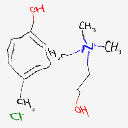 C[N+](C)(C)CCO.Cc1ccc(O)cc1.[Cl-]